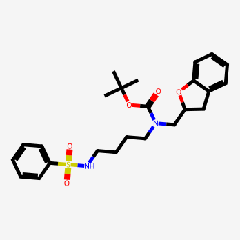 CC(C)(C)OC(=O)N(CCCCNS(=O)(=O)c1ccccc1)CC1Cc2ccccc2O1